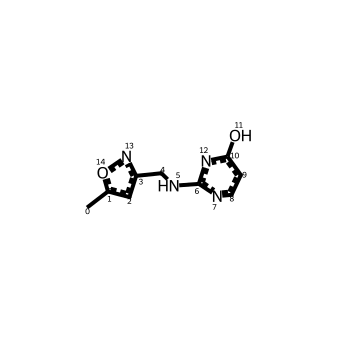 Cc1cc(CNc2nccc(O)n2)no1